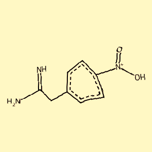 N=C(N)Cc1ccc([N+](=O)O)cc1